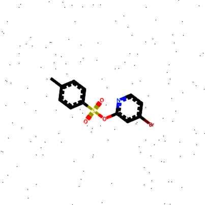 Cc1ccc(S(=O)(=O)Oc2cc(Br)ccn2)cc1